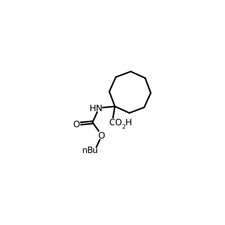 CCCCOC(=O)NC1(C(=O)O)CCCCCCC1